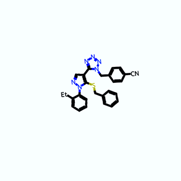 CCc1ccccc1-n1ncc(-c2nnnn2Cc2ccc(C#N)cc2)c1SCc1ccccc1